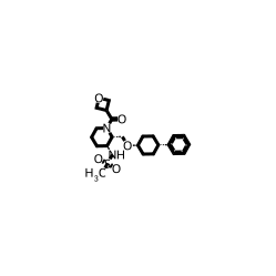 CS(=O)(=O)N[C@@H]1CCCN(C(=O)C2COC2)[C@@H]1CO[C@H]1CC[C@@H](c2ccccc2)CC1